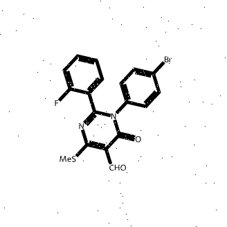 CSc1nc(-c2ccccc2F)n(-c2ccc(Br)cc2)c(=O)c1C=O